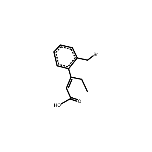 CC/C(=C\C(=O)O)c1ccccc1CBr